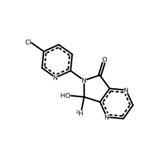 [2H]C1(O)c2nccnc2C(=O)N1c1ccc(Cl)cn1